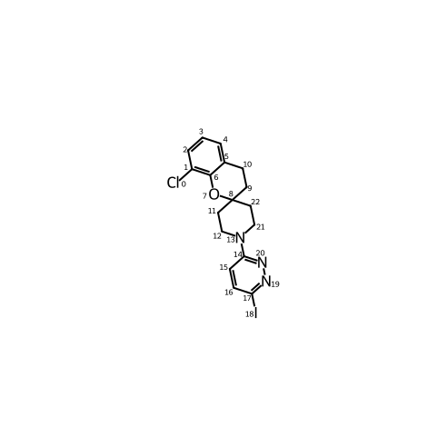 Clc1cccc2c1OC1(CC2)CCN(c2ccc(I)nn2)CC1